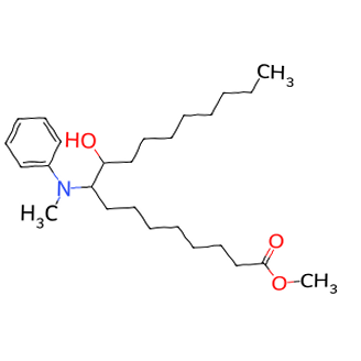 CCCCCCCCC(O)C(CCCCCCCC(=O)OC)N(C)c1ccccc1